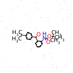 CC(C)c1ccc(C(=O)c2ccccc2NC(=O)OC(C)(C)C)cc1